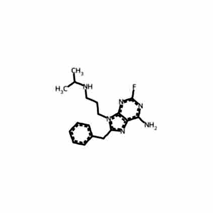 CC(C)NCCCn1c(Cc2ccccc2)nc2c(N)nc(F)nc21